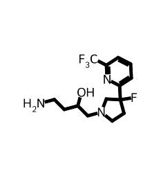 NCCC(O)CN1CCC(F)(c2cccc(C(F)(F)F)n2)C1